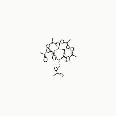 CC(=O)OCC1O[C@@H](OC(C)=O)C(OC(C)=O)C(OC(C)=O)C1OC(C)=O